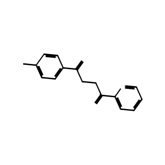 Cc1ccc(C(=O)CCC(=O)c2ccccn2)cc1